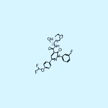 O=C(N[C@H](CO)[C@@H]1CCOC1)c1cc(-c2ccc(OC(F)F)cc2)nn(-c2cccc(F)c2)c1=O